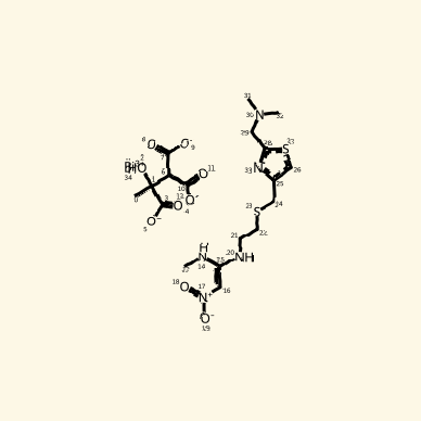 CC(O)(C(=O)[O-])C(C(=O)[O-])C(=O)[O-].CNC(=C[N+](=O)[O-])NCCSCc1csc(CN(C)C)n1.[Bi+3]